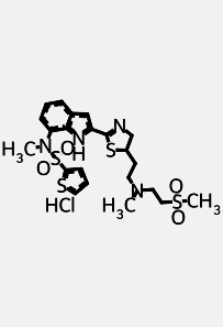 CN(CCC1CN=C(c2cc3cccc(N(C)S(=O)(=O)c4cccs4)c3[nH]2)S1)CCS(C)(=O)=O.Cl